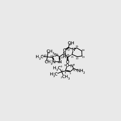 CC(C)(C)c1cc(N)no1.CC(C)(C)c1nnc(NC(=O)[C@@H]2CCCCN2C(=O)O)s1